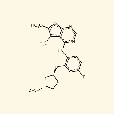 CC(=O)N[C@H]1CC[C@H](Oc2cc(F)ccc2Nc2ncnc3sc(C(=O)O)c(C)c23)C1